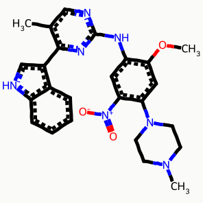 COc1cc(N2CCN(C)CC2)c([N+](=O)[O-])cc1Nc1ncc(C)c(-c2c[nH]c3ccccc23)n1